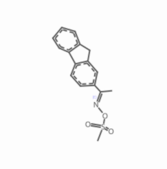 C/C(=N\OS(C)(=O)=O)c1ccc2c(c1)Cc1ccccc1-2